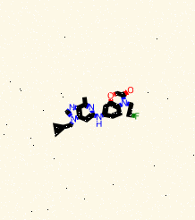 Cc1nc(Nc2ccc3c(c2)OCC(=O)N3CCF)cc2c1ncn2CC1CC1